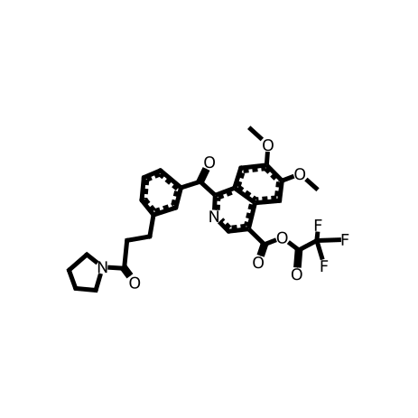 COc1cc2c(C(=O)OC(=O)C(F)(F)F)cnc(C(=O)c3cccc(CCC(=O)N4CCCC4)c3)c2cc1OC